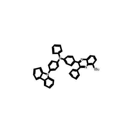 CC(C)(C)c1cccc2nc(-c3ccc(N(c4ccccc4)c4ccc(-n5c6ccccc6c6ccccc65)cc4)cc3)c(-c3ccccc3)nc12